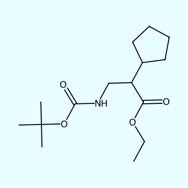 CCOC(=O)C(CNC(=O)OC(C)(C)C)C1CCCC1